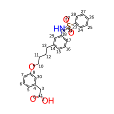 O=C(O)Cc1cccc(OCCCCc2cccc(NS(=O)(=O)c3ccccc3)c2)c1